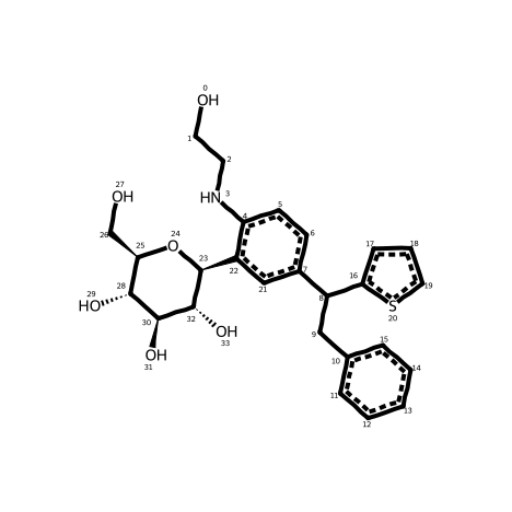 OCCNc1ccc(C(Cc2ccccc2)c2cccs2)cc1[C@@H]1O[C@H](CO)[C@@H](O)[C@H](O)[C@H]1O